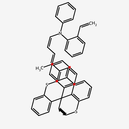 C=Cc1ccccc1N(/C=C\C=C(/C)c1cccc2c1Sc1ccccc1C21c2ccccc2Sc2cccc(-c3ccccc3)c21)c1ccccc1